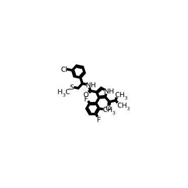 CSCC(NC(=O)c1c[nH]c(C(=O)C(C)C)c1-c1c(F)ccc(F)c1C)c1cccc(Cl)c1